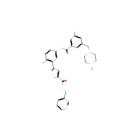 Cc1ccc(NC(=O)c2cc(CN3CCN(C)CC3)cc(C(C)(C)C)c2)cc1-c1cc(C(=O)NCc2cccnc2)on1